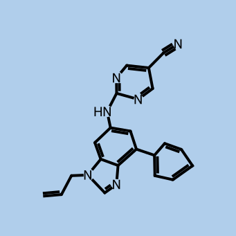 C=CCn1cnc2c(-c3ccccc3)cc(Nc3ncc(C#N)cn3)cc21